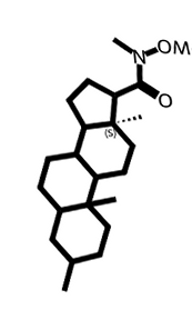 CON(C)C(=O)C1CCC2C3CCC4CC(C)CCC4(C)C3CC[C@]12C